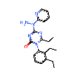 CCc1cccc(-n2c(CC)nc(N(N)c3ccccn3)nc2=O)c1CC